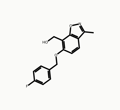 Cc1noc2c(CO)c(OCc3ccc(F)cc3)ccc12